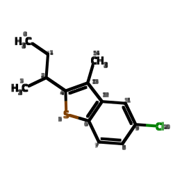 C[CH]C(C)c1sc2ccc(Cl)cc2c1C